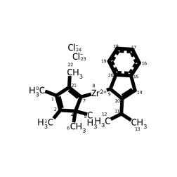 CC1=C(C)C(C)(C)[C]([Zr+2][CH]2C(C(C)C)=Cc3ccccc32)=C1C.[Cl-].[Cl-]